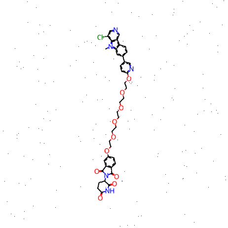 Cn1c2cc(-c3ccc(OCCOCCOCCOCCOCCOc4ccc5c(c4)C(=O)N(C4CCC(=O)NC4=O)C5=O)nc3)ccc2c2cncc(Cl)c21